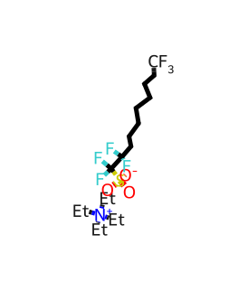 CC[N+](CC)(CC)CC.O=S(=O)([O-])C(F)(F)C(F)(F)CCCCCCCC(F)(F)F